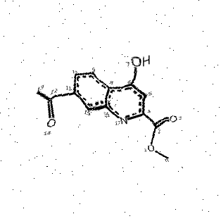 COC(=O)c1cc(O)c2ccc(C(C)=O)cc2n1